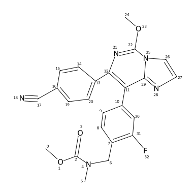 COC(=O)N(C)Cc1ccc(-c2c(-c3ccc(C#N)cc3)nc(OC)n3ccnc23)cc1F